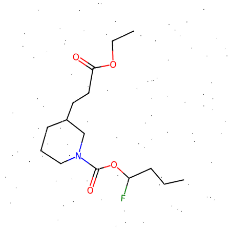 CCCC(F)OC(=O)N1CCCC(CCC(=O)OCC)C1